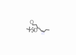 CC/C=C\C[C@H](CC=O)O[Si](C)(C)C(C)(C)C